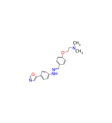 CN(C)CCOc1ccc(/C=N/Nc2ccc(-c3cnco3)cc2)cc1